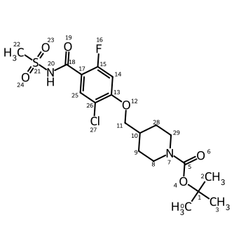 CC(C)(C)OC(=O)N1CCC(COc2cc(F)c(C(=O)NS(C)(=O)=O)cc2Cl)CC1